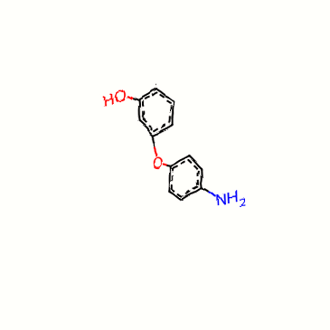 Nc1ccc(Oc2cc[c]c(O)c2)cc1